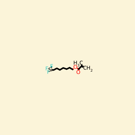 C=C(C)C(=O)OCCCCCCC[Si](F)(F)F